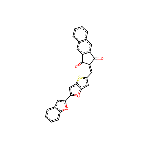 O=C1C(=Cc2cc3oc(-c4cc5ccccc5o4)cc3s2)C(=O)c2cc3ccccc3cc21